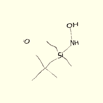 CC(C)(C)[Si](C)(C)NO.[O]